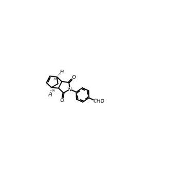 O=Cc1ccc(N2C(=O)C3C(C2=O)[C@H]2C=C[C@@H]3C2)cc1